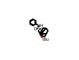 CC(C)(C)CC1C2CC3CC1CC(C2)C3CS(=O)(=O)Nc1ccccc1